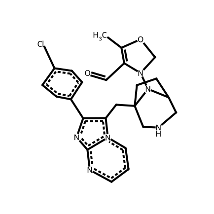 CC1=C(C=O)N(N2C3CCC2(Cc2c(-c4ccc(Cl)cc4)nc4ncccn24)CNC3)CO1